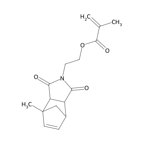 C=C(C)C(=O)OCCN1C(=O)C2C3C=CC(C)(C3)C2C1=O